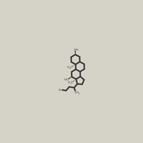 CC(=O)CCC(C)C1CCC2C3CCC4C[C@H](O)CC[C@]4(C)C3C[C@H](O)[C@]12C